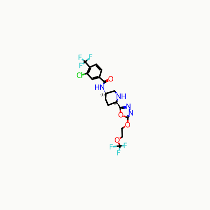 O=C(N[C@H]1CC[C@H](c2nnc(OCCOC(F)(F)F)o2)NC1)c1ccc(C(F)(F)F)c(Cl)c1